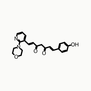 O=C(C=Cc1ccc(O)cc1)CC(=O)C=Cc1cccnc1N1CCOCC1